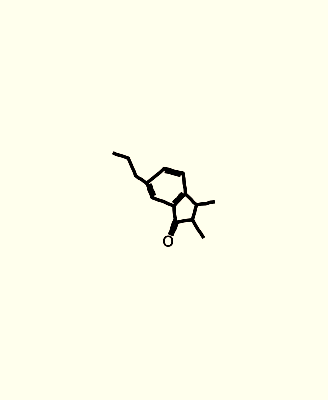 CCCc1ccc2c(c1)C(=O)C(C)C2C